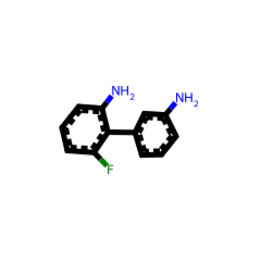 Nc1cccc(-c2c(N)cccc2F)c1